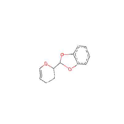 C1=COC([C]2Oc3ccccc3O2)CC1